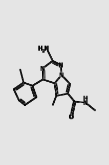 CNC(=O)c1cn2nc(N)nc(-c3ccccc3C)c2c1C